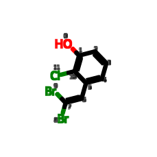 Oc1cccc(C=C(Br)Br)c1Cl